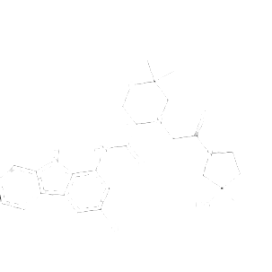 CC1(O)CCN(C(=O)CN2CC(C)(C)OC[C@H]2C(=O)Nc2cc(Cl)cc3c2[nH]c2cnccc23)C1